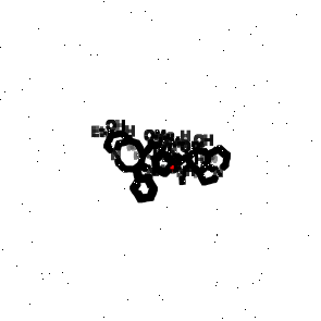 CC[C@]1(O)C[C@H]2CN(CCc3c([nH]c4ccccc34)[C@@](C(=O)OC)(c3ccc(N(C)[C@@H]4[C@H]5CCN6CC=C[C@@](CC)([C@@H](O)[C@]4(O)C(N)=O)[C@@H]56)cc3OC)C2)C1